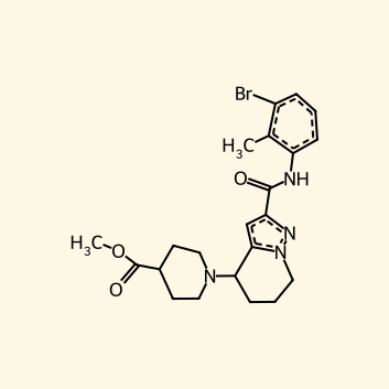 COC(=O)C1CCN(C2CCCn3nc(C(=O)Nc4cccc(Br)c4C)cc32)CC1